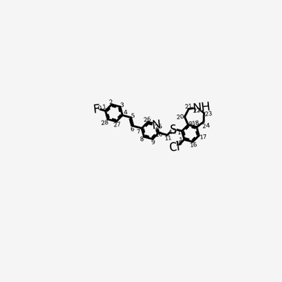 Fc1ccc(C=Cc2ccc(CSc3c(Cl)ccc4c3CCNCC4)nc2)cc1